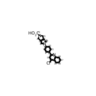 O=C(O)N1Cc2cn(-c3ccc(-c4cc(Cl)c5ccccc5n4)cc3)nc2C1